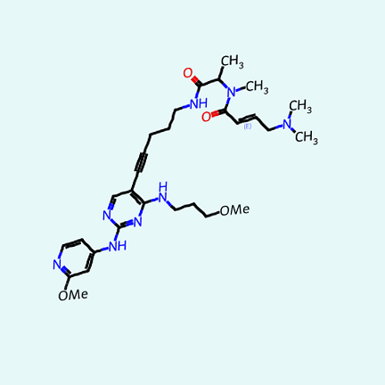 COCCCNc1nc(Nc2ccnc(OC)c2)ncc1C#CCCCNC(=O)C(C)N(C)C(=O)/C=C/CN(C)C